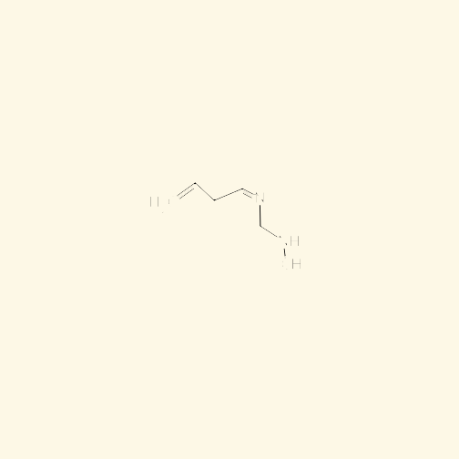 C=CC/C=N\CNC